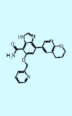 NC(=O)c1c(OCc2ccccn2)cc(-c2cnc3c(c2)CCCO3)c2nc[nH]c12